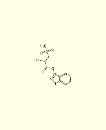 CC(CS(C)(=O)=O)C(=O)On1nnc2ccccc21